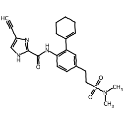 C#Cc1c[nH]c(C(=O)Nc2ccc(CCS(=O)(=O)N(C)C)cc2C2=CCCCC2)n1